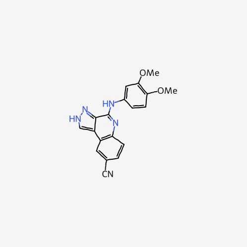 COc1ccc(Nc2nc3ccc(C#N)cc3c3c[nH]nc23)cc1OC